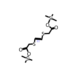 C[Si](C)(C)OC(=O)CS/C=C/SCC(=O)O[Si](C)(C)C